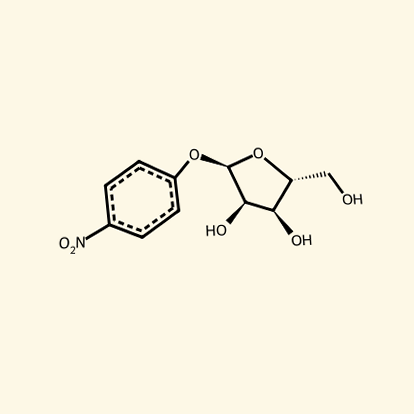 O=[N+]([O-])c1ccc(O[C@H]2O[C@H](CO)[C@@H](O)[C@H]2O)cc1